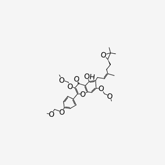 COCOc1ccc(-c2oc3cc(OCOC)c(C/C=C(/C)CC[C@H]4OC4(C)C)c(O)c3c(=O)c2OCOC)cc1